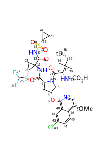 COc1cnc(O[C@@H]2C[C@@H](C(=O)N[C@]3(C(=O)NS(=O)(=O)C4CC4)C[C@H]3CC(F)F)N(C(=O)[C@@H](NC(=O)O)C(C)(C)CC(C)(C)C)C2)c2cc(Cl)ccc12